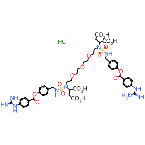 Cl.N=C(N)Nc1ccc(C(=O)Oc2ccc(CNS(=O)(=O)N(CCOCCOCCOCCN(C(CC(=O)O)C(=O)O)S(=O)(=O)NCc3ccc(OC(=O)c4ccc(NC(=N)N)cc4)cc3)C(CC(=O)O)C(=O)O)cc2)cc1